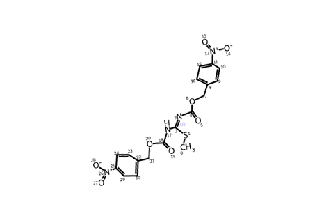 CS/C(=N\C(=O)OCc1ccc([N+](=O)[O-])cc1)NC(=O)OCc1ccc([N+](=O)[O-])cc1